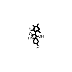 COC1CCC2(CC1)NC(=O)C(c1c(C)cc(C)c(C)c1CF)=C2O